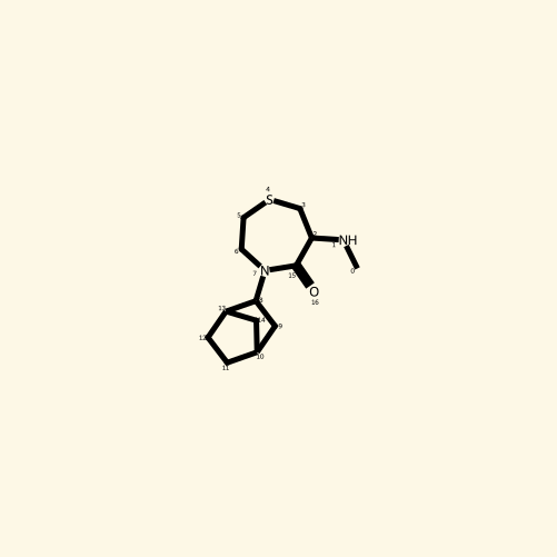 CNC1CSCCN(C2CC3CCC2C3)C1=O